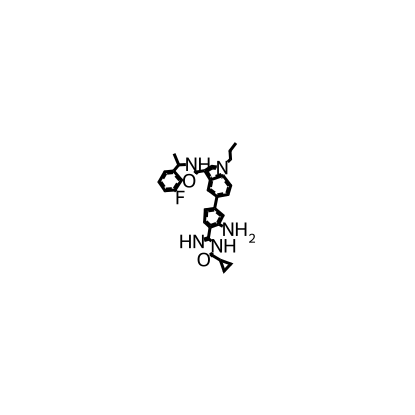 CCCn1cc(C(=O)NC(C)c2cccc(F)c2)c2cc(-c3ccc(C(=N)NC(=O)C4CC4)c(N)c3)ccc21